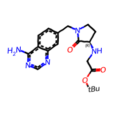 CC(C)(C)OC(=O)CN[C@@H]1CCN(Cc2ccc3c(N)ncnc3c2)C1=O